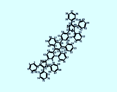 c1ccc(-c2nc(-c3ccc(-c4c(-c5ccccc5)c(-c5ccccc5)c(-c5ccc(-c6nc(-c7ccccc7)c(-c7ccccc7)n6-c6ccccc6)cc5)c5ccccc45)cc3)n(-c3ccccc3)c2-c2ccccc2)cc1